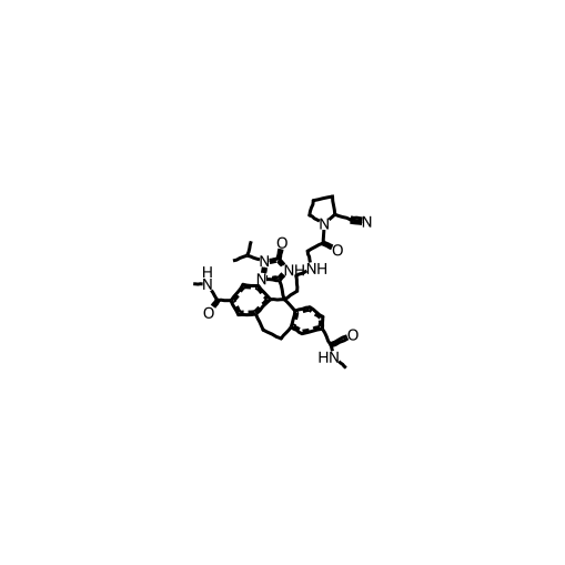 CNC(=O)c1ccc2c(c1)CCc1cc(C(=O)NC)ccc1C2(CCNCC(=O)N1CCCC1C#N)c1nn(C(C)C)c(=O)[nH]1